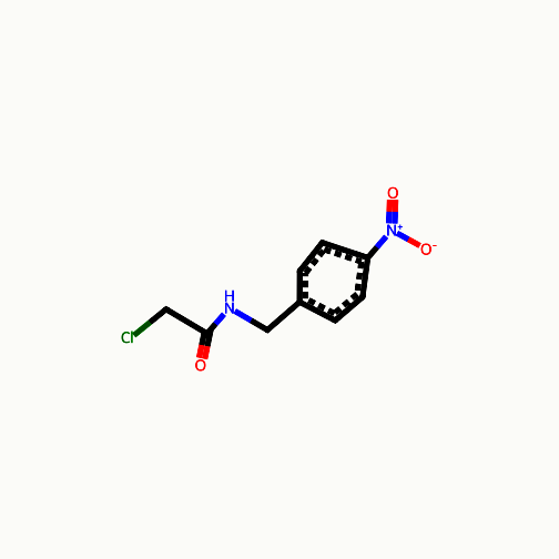 O=C(CCl)NCc1ccc([N+](=O)[O-])cc1